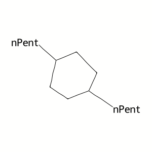 CCCCCC1CCC(CCCCC)CC1